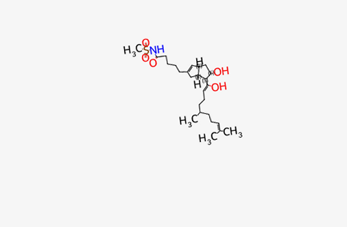 CC(C)=CCCC(C)CCC=C(O)[C@H]1[C@@H]2CC(CCCCC(=O)NS(C)(=O)=O)=C[C@@H]2C[C@@H]1O